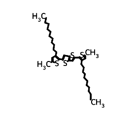 CCCCCCCCCCCCc1cc(C)sc1-c1cc2sc(-c3sc(C)cc3CCCCCCCCCCCC)cc2s1